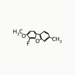 COc1ccc2c(oc3cc(C)ccc32)c1F